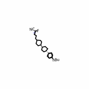 CCCCc1ccc([C@H]2CC[C@H](C3CCC(CC/C=C(\F)C#N)CC3)CC2)cc1